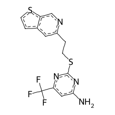 Nc1cc(C(F)(F)F)nc(SCCc2cc3ccsc3cn2)n1